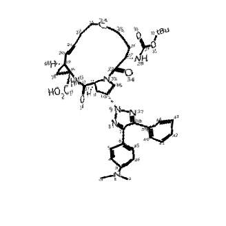 CN(C)c1ccc(-c2nn([C@@H]3C[C@H]4C(=O)N[C@]5(C(=O)O)C[C@H]5/C=C\CCCCC[C@H](NC(=O)OC(C)(C)C)C(=O)N4C3)nc2-c2ccccc2)cc1